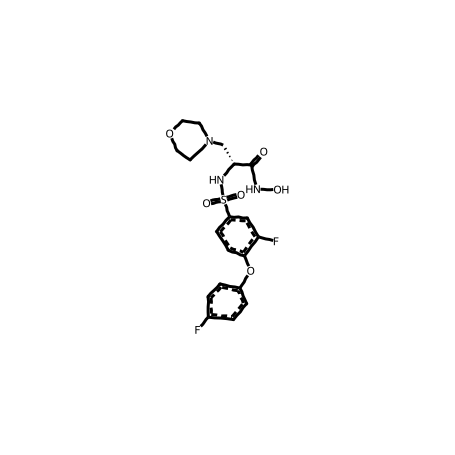 O=C(NO)[C@@H](CN1CCOCC1)NS(=O)(=O)c1ccc(Oc2ccc(F)cc2)c(F)c1